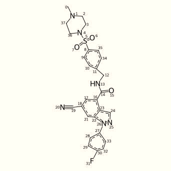 CN1CCN(S(=O)(=O)c2ccc(CNC(=O)c3cc(C#N)cc4c3cnn4-c3ccc(F)cc3)cc2)CC1